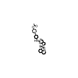 CC(=O)OC1CCN(c2ccc(Nc3ncc4ccn(S(=O)(=O)c5cccc6cccnc56)c4n3)cc2)CC1